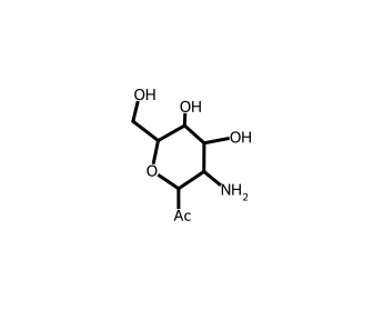 CC(=O)C1OC(CO)C(O)C(O)C1N